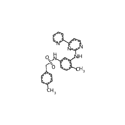 Cc1ccc(CS(=O)(=O)Nc2ccc(C)c(Nc3nccc(-c4ccccn4)n3)c2)cc1